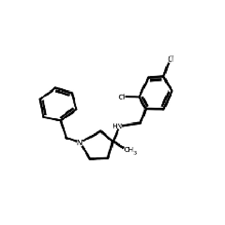 CC1(NCc2ccc(Cl)cc2Cl)CCN(Cc2ccccc2)C1